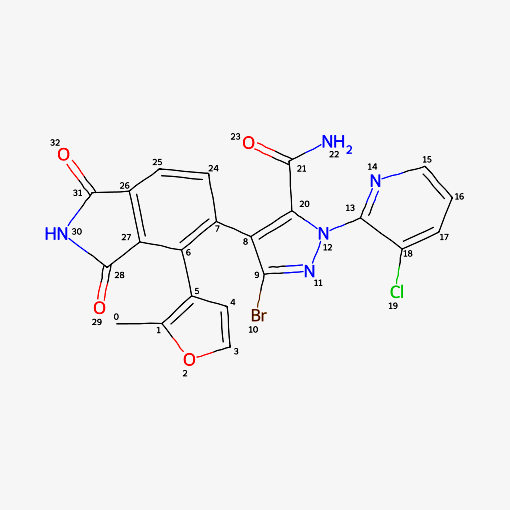 Cc1occc1-c1c(-c2c(Br)nn(-c3ncccc3Cl)c2C(N)=O)ccc2c1C(=O)NC2=O